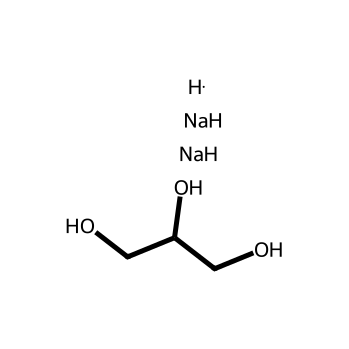 OCC(O)CO.[H].[NaH].[NaH]